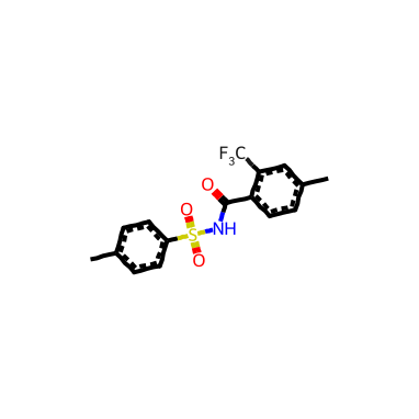 Cc1ccc(S(=O)(=O)NC(=O)c2ccc(C)cc2C(F)(F)F)cc1